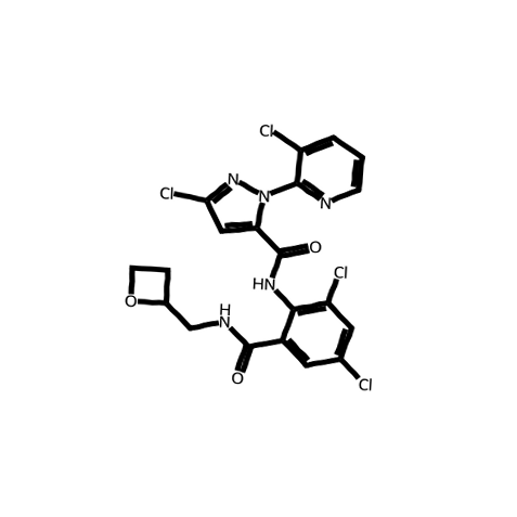 O=C(NCC1CCO1)c1cc(Cl)cc(Cl)c1NC(=O)c1cc(Cl)nn1-c1ncccc1Cl